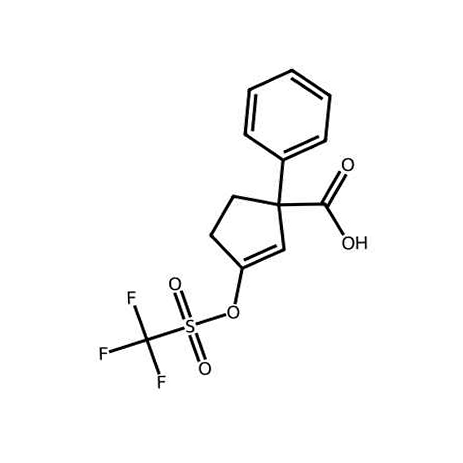 O=C(O)C1(c2ccccc2)C=C(OS(=O)(=O)C(F)(F)F)CC1